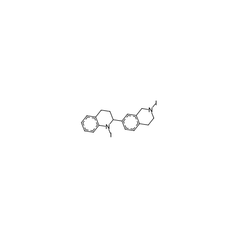 IN1CCc2ccc(C3CCc4ccccc4N3I)cc2C1